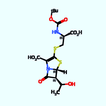 CC(O)[C@H]1C(=O)N2C(C(=O)O)=C(SC[C@@H](NC(=O)OC(C)(C)C)C(=O)O)S[C@H]12